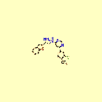 NC(CNc1cc(-c2ccc(C(F)(F)F)c(Cl)c2)ncn1)c1cc2ccccc2s1